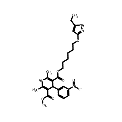 CCc1cc(OCCCCCCOC(=O)C2=C(C)NC(C)=C(C(=O)OC)C2c2cccc([N+](=O)[O-])c2)n[nH]1